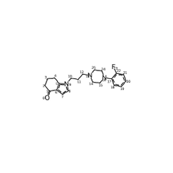 O=C1CCCc2c1ccn2CCCN1CCN(c2ccccc2F)CC1